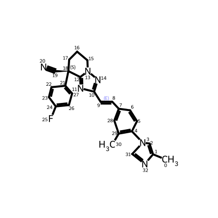 Cc1cn(-c2ccc(/C=C/c3nc4n(n3)CCC[C@@]4(C#N)c3ccc(F)cc3)cc2C)cn1